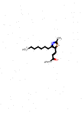 CCCCCC(=O)C=Cc1sc(C)nc1CCCCCCC(=O)O